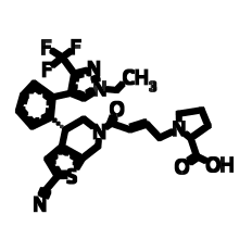 CCn1cc(-c2ccccc2[C@@H]2CN(C(=O)/C=C/CN3CCCC3C(=O)O)Cc3sc(C#N)cc32)c(C(F)(F)F)n1